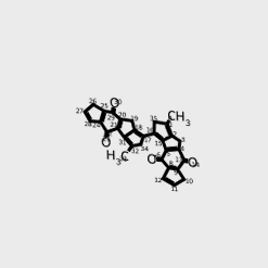 CC1=C2CC3=C(C(=O)C4=C(CC=C4)C3=O)C2=C(C2=C3CC4=C(C(=O)C5=C(CC=C5)C4=O)C3=C(C)C2)C1